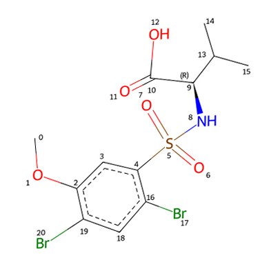 COc1cc(S(=O)(=O)N[C@@H](C(=O)O)C(C)C)c(Br)cc1Br